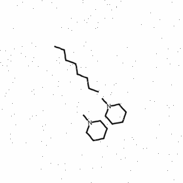 CCCCCCCC.CN1CCCCC1.CN1CCCCC1